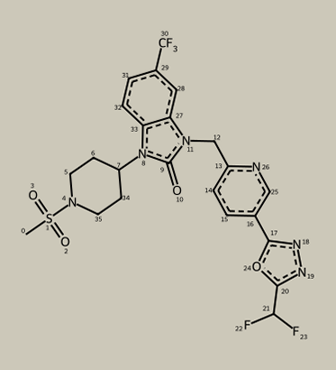 CS(=O)(=O)N1CCC(n2c(=O)n(Cc3ccc(-c4nnc(C(F)F)o4)cn3)c3cc(C(F)(F)F)ccc32)CC1